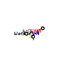 COc1ccc([C@@H]2Sc3cc(C)ccc3N(CCN(C)C(=O)OCc3ccccc3)C(=O)[C@@H]2OC(C)=O)cc1